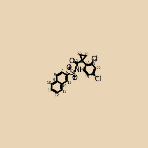 O=C(NS(=O)(=O)c1ccc2ccccc2c1)C1(c2ccc(Cl)cc2Cl)CC1